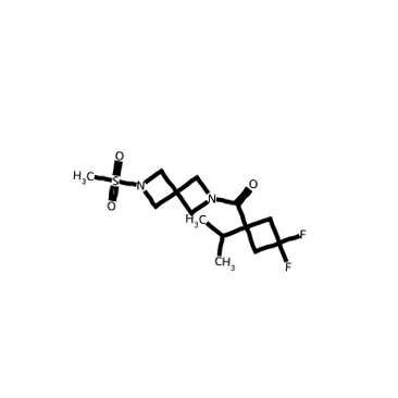 CC(C)C1(C(=O)N2CC3(C2)CN(S(C)(=O)=O)C3)CC(F)(F)C1